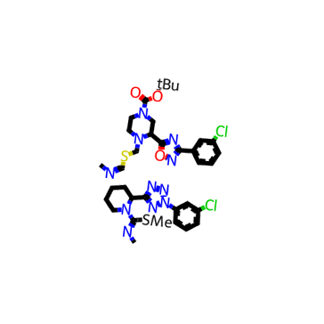 C/N=C(\SC)N1CCCCC1c1nnn(-c2cccc(Cl)c2)n1.C/N=C\SCN1CCN(C(=O)OC(C)(C)C)CC1c1nc(-c2cccc(Cl)c2)no1